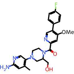 COc1cc(C(=O)N2CCN(c3cnc(N)cc3C)CC2CO)ncc1-c1ccc(F)cc1